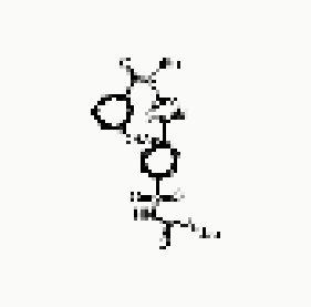 CCCCN(C(=O)c1cccc(OC)c1)c1nnc(-c2ccc(S(=O)(=O)NC(=O)OC(C)(C)C)cc2)s1